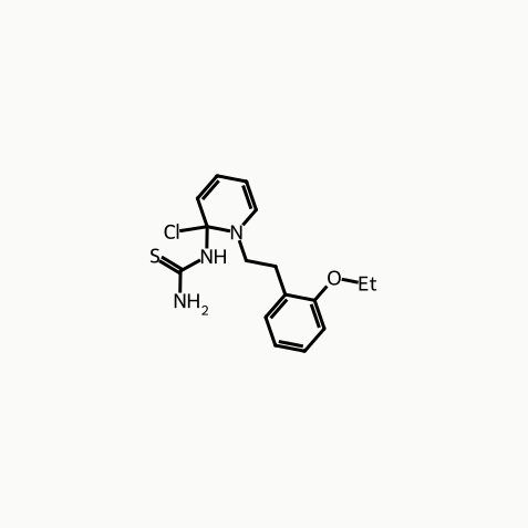 CCOc1ccccc1CCN1C=CC=CC1(Cl)NC(N)=S